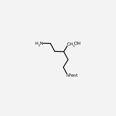 CCCCCCCC(C)CCN.Cl